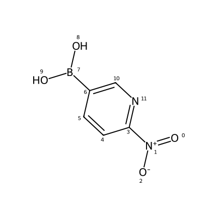 O=[N+]([O-])c1ccc(B(O)O)cn1